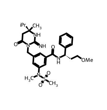 COCC[C@H](NC(=O)c1cc(CN2C(=N)N[C@](C)(C(C)C)CC2=O)cc(N(C)S(C)(=O)=O)c1)c1ccccc1